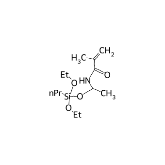 C=C(C)C(=O)NC(C)O[Si](CCC)(OCC)OCC